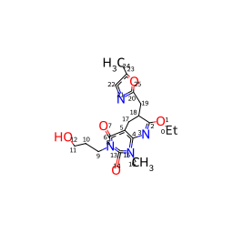 CCOC1=Nc2c(c(=O)n(CCCO)c(=O)n2C)CC1Cc1ncc(C)o1